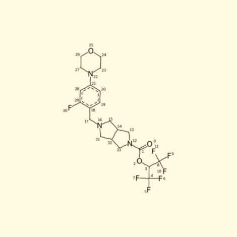 O=C(OC(C(F)(F)F)C(F)(F)F)N1CC2CN(Cc3ccc(N4CCOCC4)cc3F)CC2C1